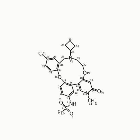 CCS(=O)(=O)Nc1ccc2c(c1)-c1cn(C)c(=O)cc1OCCN(C1CCC1)Cc1cc(Cl)ccc1O2